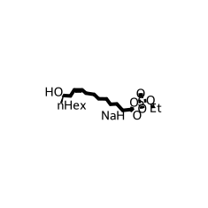 CCCCCC[C@@H](O)C/C=C\CCCCCCCC(=O)OS(=O)(=O)OCC.[NaH]